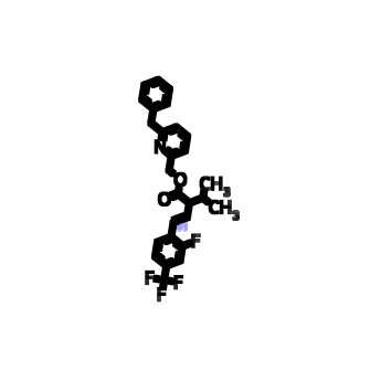 CC(C)C(/C=C/c1ccc(C(F)(F)F)cc1F)C(=O)OCc1cccc(Cc2ccccc2)n1